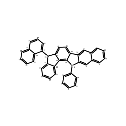 c1ccc(-n2c3cc4ccccc4cc3c3ccc4c(c5ccccc5n4-c4cccc5ccccc45)c32)cc1